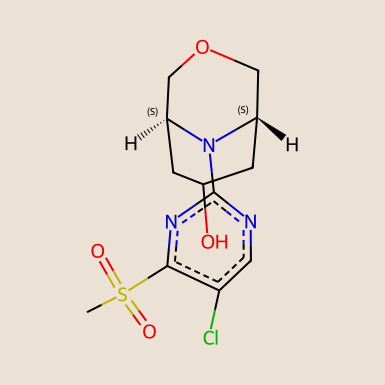 CS(=O)(=O)c1nc(N2[C@@H]3COC[C@@H]2CC(O)C3)ncc1Cl